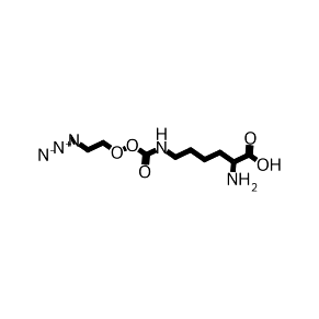 [N-]=[N+]=NCCOOC(=O)NCCCCC(N)C(=O)O